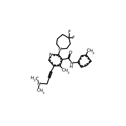 Cc1cccc(NC(=O)c2c(N3CCCC(F)(F)CC3)ncc(C#CCN(C)C)c2C)c1